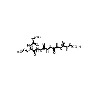 CC(C)(C)OC[C@H](NC(=O)OC(C)(C)C)C(=O)NCC(=O)NCC(=O)NCC(=O)NCC(=O)O